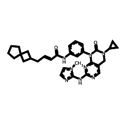 Cn1ccnc1Nc1ncc2c(n1)N(c1cccc(NC(=O)/C=C/CC3CC4(CCCC4)C3)c1)C(=O)N(C1CC1)C2